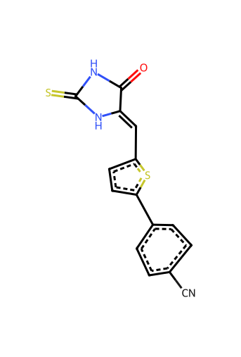 N#Cc1ccc(-c2ccc(/C=C3\NC(=S)NC3=O)s2)cc1